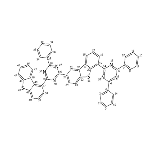 c1ccc(-c2nc(-c3ccccc3)nc(-c3cccc4c3sc3ccc(-c5nc(-c6ccccc6)nc(-c6cccc7sc8ccccc8c67)n5)cc34)n2)cc1